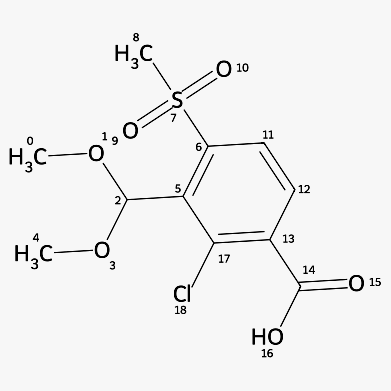 COC(OC)c1c(S(C)(=O)=O)ccc(C(=O)O)c1Cl